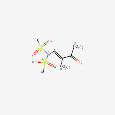 CCOC(=O)C(=O)C(=CN(S(C)(=O)=O)S(C)(=O)=O)C(=O)OCC